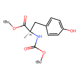 CC(C)(C)OC(=O)N[C@](C)(Cc1ccc(O)cc1)C(=O)OC(C)(C)C